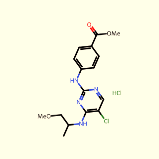 COCC(C)Nc1nc(Nc2ccc(C(=O)OC)cc2)ncc1Cl.Cl